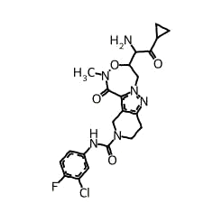 CN1OC(C(N)C(=O)C2CC2)Cn2nc3c(c2C1=O)CN(C(=O)Nc1ccc(F)c(Cl)c1)CC3